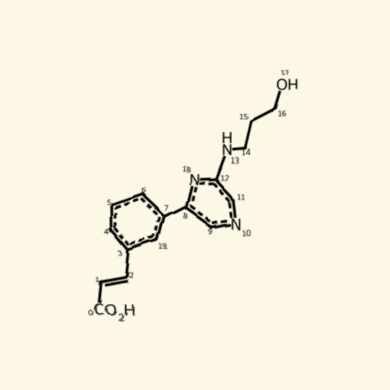 O=C(O)C=Cc1cccc(-c2cncc(NCCCO)n2)c1